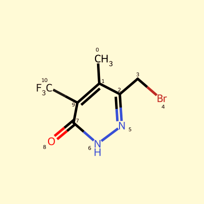 Cc1c(CBr)n[nH]c(=O)c1C(F)(F)F